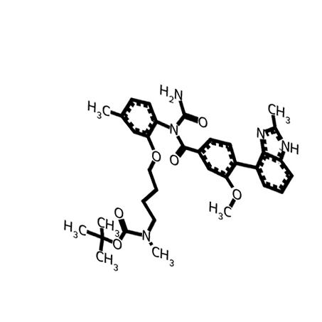 COc1cc(C(=O)N(C(N)=O)c2ccc(C)cc2OCCCCN(C)C(=O)OC(C)(C)C)ccc1-c1cccc2[nH]c(C)nc12